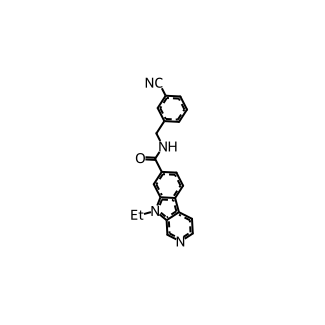 CCn1c2cnccc2c2ccc(C(=O)NCc3cccc(C#N)c3)cc21